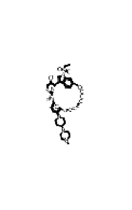 CCS(=O)(=O)n1cc2c3ccc(cc31)OCCCCCCOc1cc(ccc1N1CCC(N3CCN(C)CC3)CC1)Nc1ncc(Cl)c-2n1